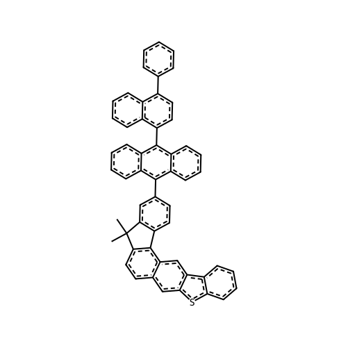 CC1(C)c2cc(-c3c4ccccc4c(-c4ccc(-c5ccccc5)c5ccccc45)c4ccccc34)ccc2-c2c1ccc1cc3sc4ccccc4c3cc21